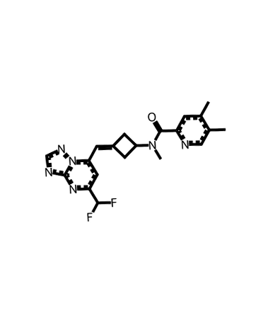 Cc1cnc(C(=O)N(C)C2CC(=Cc3cc(C(F)F)nc4ncnn34)C2)cc1C